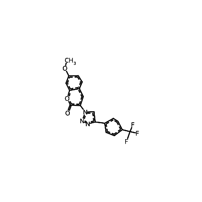 COc1ccc2cc(-n3cc(-c4ccc(C(F)(F)F)cc4)nn3)c(=O)oc2c1